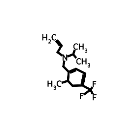 C=CCN(CC1=CC=C(C(F)(F)F)CC1C)C(C)C